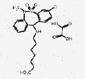 CN1c2ccccc2C(NCCCCCCC(=O)O)c2ccc(Cl)cc2S1(=O)=O.O=C(O)C(=O)O